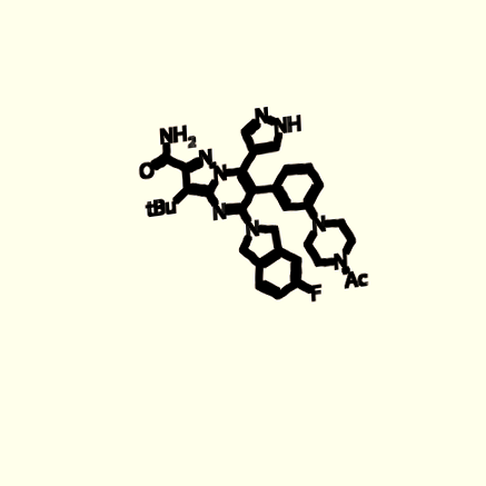 CC(=O)N1CCN(c2cccc(-c3c(N4Cc5ccc(F)cc5C4)nc4c(C(C)(C)C)c(C(N)=O)nn4c3-c3cn[nH]c3)c2)CC1